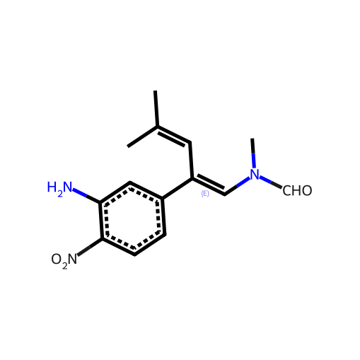 CC(C)=C/C(=C\N(C)C=O)c1ccc([N+](=O)[O-])c(N)c1